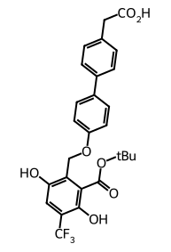 CC(C)(C)OC(=O)c1c(O)c(C(F)(F)F)cc(O)c1COc1ccc(-c2ccc(CC(=O)O)cc2)cc1